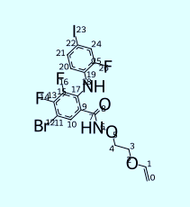 C=COCCONC(=O)c1cc(Br)c(F)c(F)c1Nc1ccc(I)cc1F